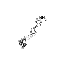 Nc1ccc(C#Cc2ccc(OCCCN3C[C@@H]4OCCO[C@@H]4C3)cc2)cc1